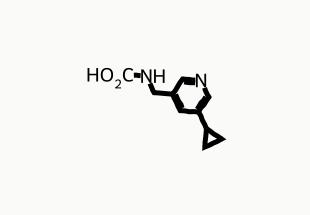 O=C(O)NCc1cncc(C2CC2)c1